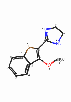 CCCCOc1c(C2=NCCN2)sc2ccccc12